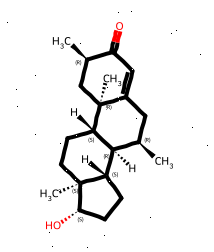 C[C@@H]1C[C@@]2(C)C(=CC1=O)C[C@@H](C)[C@H]1[C@@H]3CC[C@H](O)[C@@]3(C)CC[C@@H]12